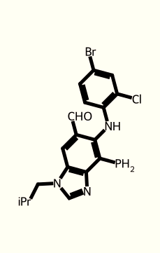 CC(C)Cn1cnc2c(P)c(Nc3ccc(Br)cc3Cl)c(C=O)cc21